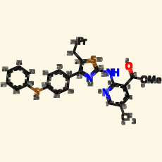 COC(=O)c1cc(C(F)(F)F)cnc1Nc1nc(-c2ccc(Sc3ccccc3)cc2)c(CC(C)C)s1